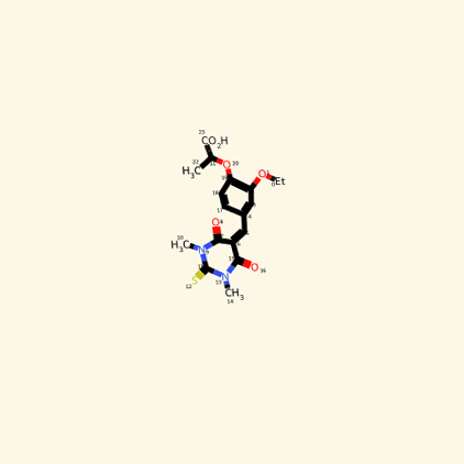 CCOc1cc(C=C2C(=O)N(C)C(=S)N(C)C2=O)ccc1OC(C)C(=O)O